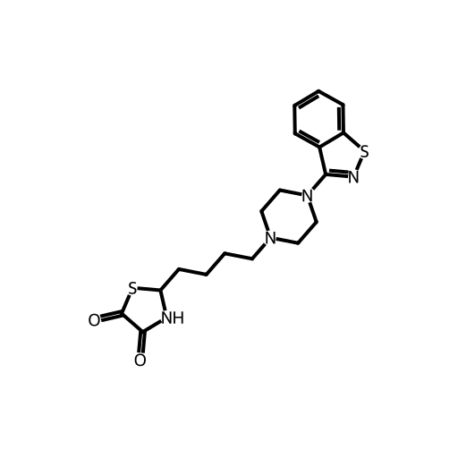 O=C1NC(CCCCN2CCN(c3nsc4ccccc34)CC2)SC1=O